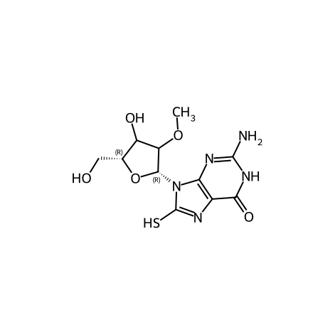 COC1C(O)[C@@H](CO)O[C@H]1n1c(S)nc2c(=O)[nH]c(N)nc21